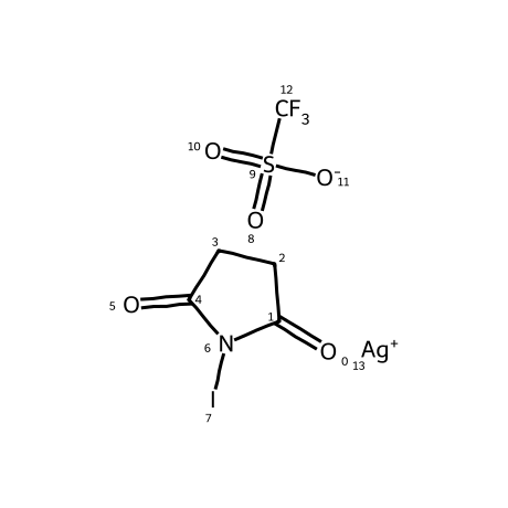 O=C1CCC(=O)N1I.O=S(=O)([O-])C(F)(F)F.[Ag+]